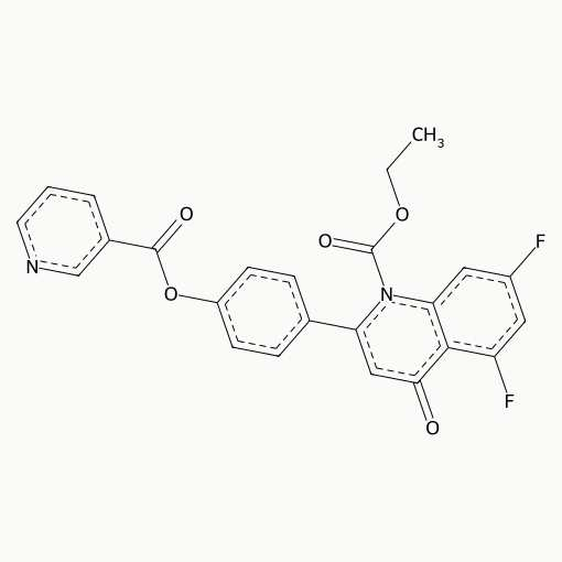 CCOC(=O)n1c(-c2ccc(OC(=O)c3cccnc3)cc2)cc(=O)c2c(F)cc(F)cc21